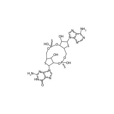 Nc1nc2c(ncn2C2SC3COP(O)(=S)OC4C(COP(O)(=S)OC2C3O)SC(n2cnc3c(N)ncnc32)C4O)c(=O)[nH]1